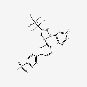 CS(=O)(=O)c1ccc(-c2cccc(C3CC(C(F)(F)C(F)(F)F)=NN3c3cccc(Cl)c3)c2)cc1